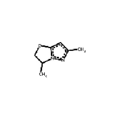 Cc1cc2n(n1)C(C)CO2